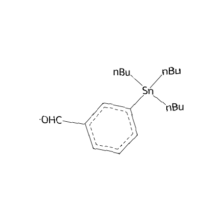 CCC[CH2][Sn]([CH2]CCC)([CH2]CCC)[c]1cccc([C]=O)c1